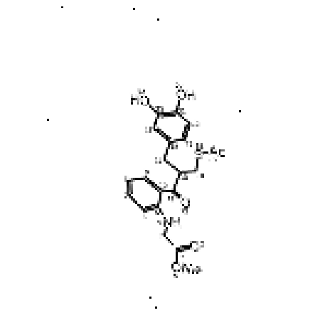 COC(=O)CNc1ccccc1C(=O)C(CSC(C)=O)Cc1ccc(O)c(O)c1